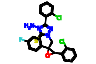 Nn1c(-c2ccccc2Cl)nn(C[C@]2(c3ccc(F)cc3)O[C@@H]2c2ccccc2Cl)c1=S